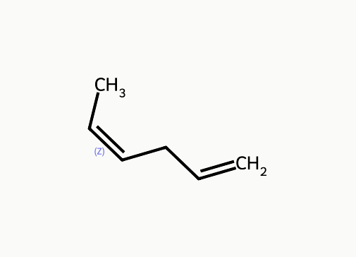 C=CC/C=C\C